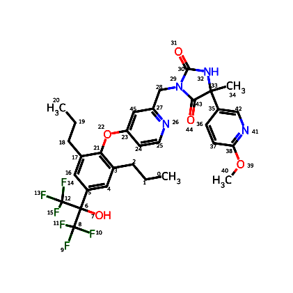 CCCc1cc(C(O)(C(F)(F)F)C(F)(F)F)cc(CCC)c1Oc1ccnc(CN2C(=O)NC(C)(c3ccc(OC)nc3)C2=O)c1